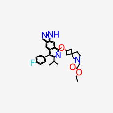 CCOC(=O)CN1CCC2(CC(Oc3nc(C(C)C)c(-c4ccc(F)cc4)c4cc5cn[nH]c5cc34)C2)C1